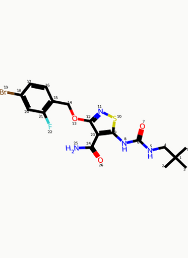 CC(C)(C)CNC(=O)Nc1snc(OCc2ccc(Br)cc2F)c1C(N)=O